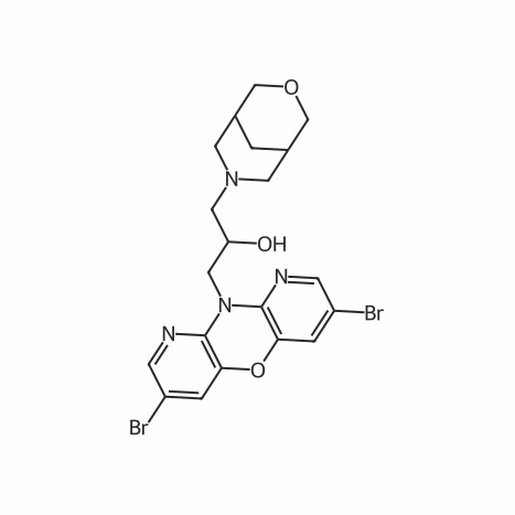 OC(CN1CC2COCC(C2)C1)CN1c2ncc(Br)cc2Oc2cc(Br)cnc21